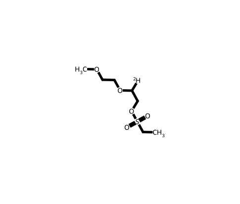 [2H]C(COS(=O)(=O)CC)OCCOC